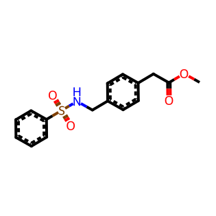 COC(=O)Cc1ccc(CNS(=O)(=O)c2ccccc2)cc1